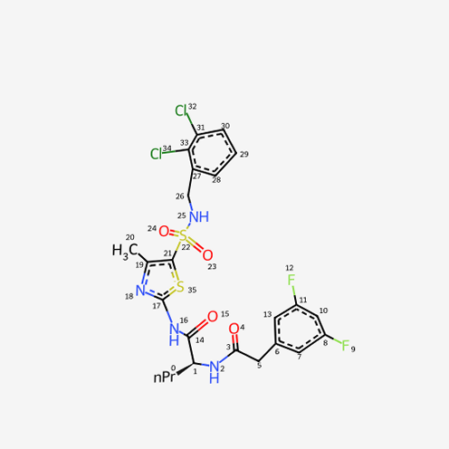 CCC[C@H](NC(=O)Cc1cc(F)cc(F)c1)C(=O)Nc1nc(C)c(S(=O)(=O)NCc2cccc(Cl)c2Cl)s1